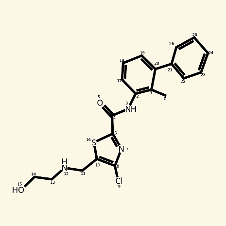 Cc1c(NC(=O)c2nc(Cl)c(CNCCO)s2)cccc1-c1ccccc1